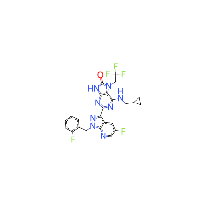 O=c1[nH]c2nc(-c3nn(Cc4ccccc4F)c4ncc(F)cc34)nc(NCC3CC3)c2n1CC(F)(F)F